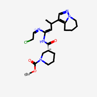 CC(/C=C(\N=C/CCl)NC(=O)[C@@H]1CCCN(C(=O)OC(C)(C)C)C1)c1cnn2c1CCCC2